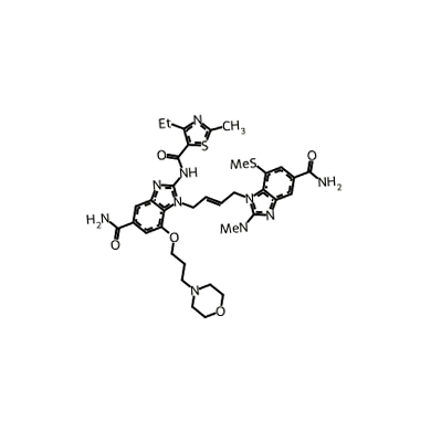 CCc1nc(C)sc1C(=O)Nc1nc2cc(C(N)=O)cc(OCCCN3CCOCC3)c2n1C/C=C/Cn1c(NC)nc2cc(C(N)=O)cc(SC)c21